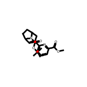 COC(=O)c1cccc(C2=CC3CCC(C2)N3C(=O)OC(C)(C)C)n1